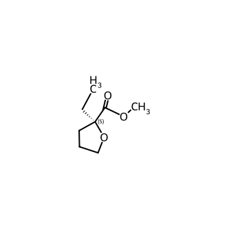 CC[C@@]1(C(=O)OC)CCCO1